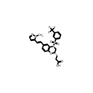 Cn1nccc1/C=C/c1ccc2c(c1)N(S(=O)(=O)c1cccc(C(F)(F)F)c1)C[C@H](CCC(=O)O)O2